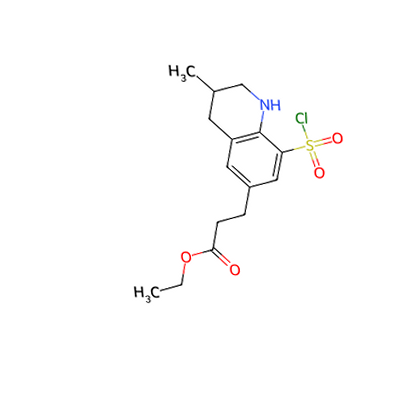 CCOC(=O)CCc1cc2c(c(S(=O)(=O)Cl)c1)NCC(C)C2